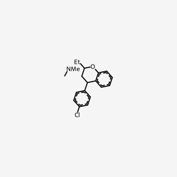 CCC1CC(c2ccc(Cl)cc2)c2ccccc2O1.CNC